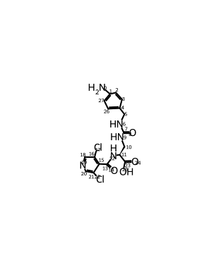 Nc1ccc(CNC(=O)NC[C@H](NC(=O)c2c(Cl)cncc2Cl)C(=O)O)cc1